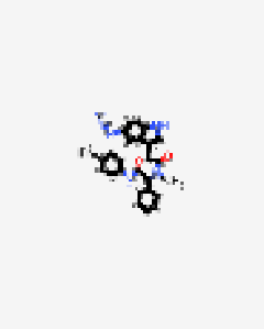 CC(C)c1ccc(NC(=O)[C@H](c2ccccc2)N(C)C(=O)Cc2c[nH]c3ccc(N=[N+]=[N-])cc23)cc1